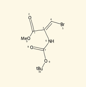 COC(=O)/C(=C/Br)NC(=O)OC(C)(C)C